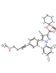 C#CC1(OC(=O)c2nn(-c3ccc(Cl)cc3Cl)c(-c3ccc(C#CCCO[N+](=O)[O-])cc3)c2C)CCCCC1